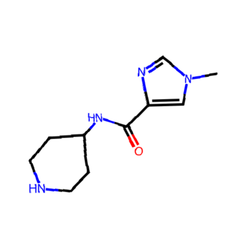 Cn1cnc(C(=O)NC2CCNCC2)c1